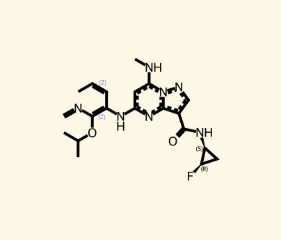 C=N/C(OC(C)C)=C(\C=C/C)Nc1cc(NC)n2ncc(C(=O)N[C@H]3C[C@H]3F)c2n1